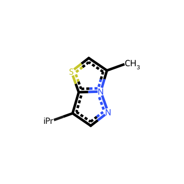 Cc1csc2c(C(C)C)cnn12